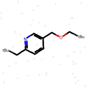 CC(C)(C)COCc1ccc(CC(C)(C)C)nc1